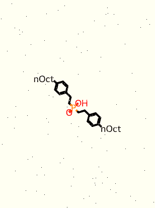 CCCCCCCCc1ccc(CCP(=O)(O)CCc2ccc(CCCCCCCC)cc2)cc1